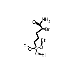 CCO[Si](CCCC(Br)C(N)=O)(OCC)OCC